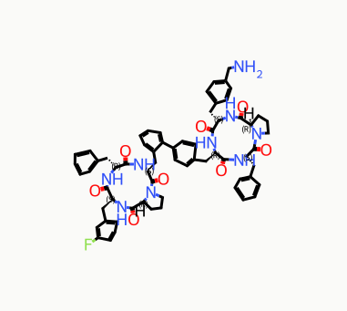 NCc1ccc(C[C@@H]2NC(=O)[C@H]3CCCN3C(=O)[C@H](Cc3ccccc3)NC(=O)[C@@H](Cc3ccc(-c4ccccc4C[C@@H]4NC(=O)[C@@H](Cc5ccccc5)NC(=O)[C@H](Cc5cccc(F)c5)NC(=O)[C@H]5CCCN5C4=O)cc3)NC2=O)cc1